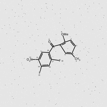 COc1ccc(C)cc1C(=O)c1cc([N+](=O)[O-])c(F)cc1F